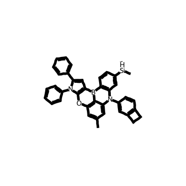 Cc1cc2c3c(c1)N(c1ccc4c(c1)CC4)c1cc([SiH](C)C)ccc1B3c1cc(-c3ccccc3)n(-c3ccccc3)c1O2